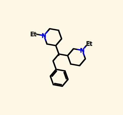 CCN1CCCC([C](Cc2ccccc2)C2CCCN(CC)C2)C1